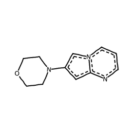 c1cnc2cc(N3CCOCC3)cn2c1